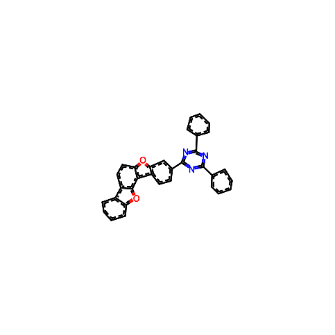 c1ccc(-c2nc(-c3ccccc3)nc(-c3ccc4c(c3)oc3ccc5c6ccccc6oc5c34)n2)cc1